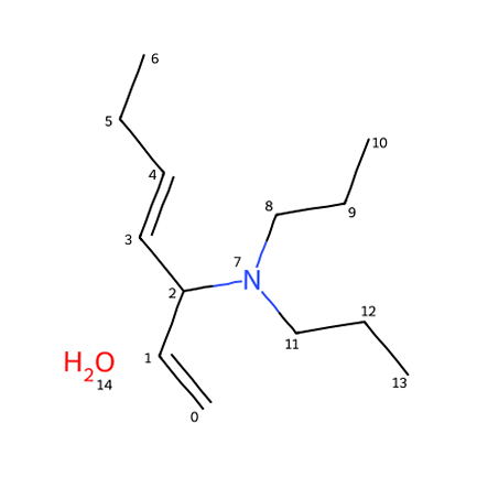 C=CC(C=CCC)N(CCC)CCC.O